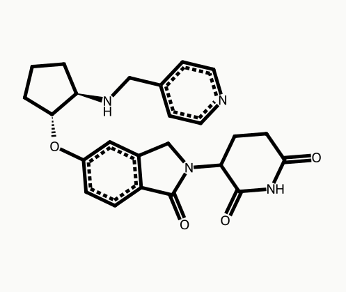 O=C1CCC(N2Cc3cc(O[C@@H]4CCC[C@H]4NCc4ccncc4)ccc3C2=O)C(=O)N1